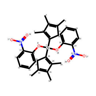 CC1=C(C)C(C)=[C]([Zr]([O]c2ccccc2[N+](=O)[O-])([O]c2ccccc2[N+](=O)[O-])[C]2=C(C)C(C)=C(C)C2)C1